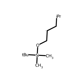 CC(C)C[CH]CO[Si](C)(C)C(C)(C)C